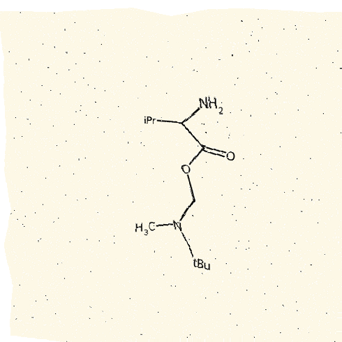 CC(C)C(N)C(=O)OCN(C)C(C)(C)C